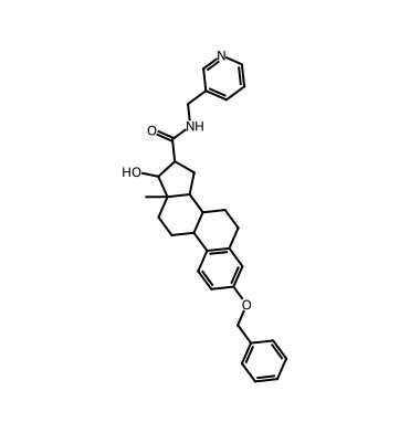 CC12CCC3c4ccc(OCc5ccccc5)cc4CCC3C1CC(C(=O)NCc1cccnc1)C2O